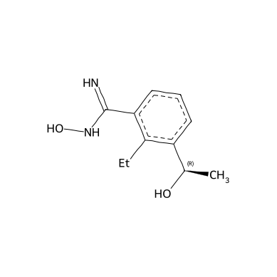 CCc1c(C(=N)NO)cccc1[C@@H](C)O